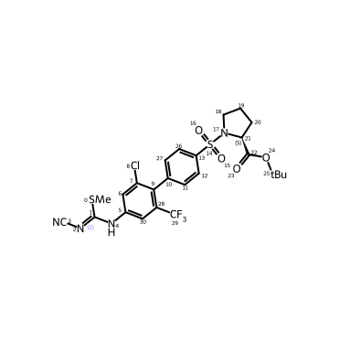 CS/C(=N\C#N)Nc1cc(Cl)c(-c2ccc(S(=O)(=O)N3CCC[C@H]3C(=O)OC(C)(C)C)cc2)c(C(F)(F)F)c1